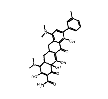 Cc1cccc(-c2cc(N(C)C)c3c(c2O)C(=O)C2=C(O)C4(O)C(=O)C(C(N)=O)=C(O)C(N(C)C)C4CC2C3)c1